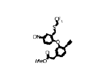 C#Cc1ccc(CC(=O)OC)cc1Oc1ccc(N=O)cc1CSCC(F)(F)F